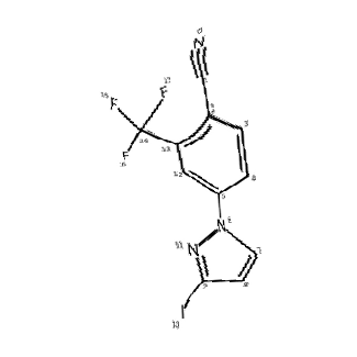 N#Cc1ccc(-n2ccc(I)n2)cc1C(F)(F)F